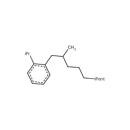 CCCC(C)CCCC(C)Cc1ccccc1C(C)C